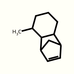 CC1CCCC2C3C=CC(C3)C12